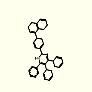 C1=CCC(C2=NC(C3=CCC(C4=CCCC5=C4CCC=C5)C=C3)NC(c3ccccc3)=C2C2C=CC=CC2)C=C1